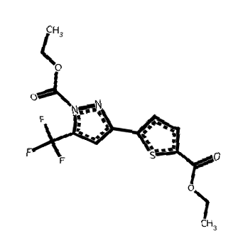 CCOC(=O)c1ccc(-c2cc(C(F)(F)F)n(C(=O)OCC)n2)s1